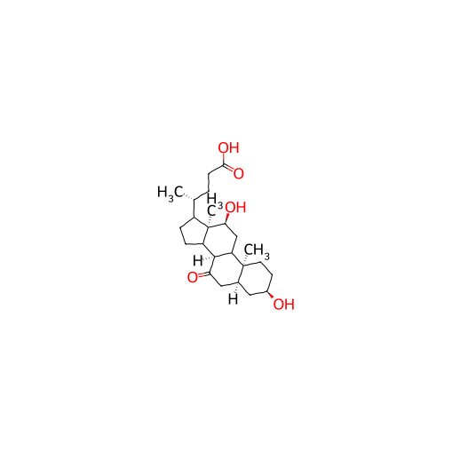 C[C@H](CCC(=O)O)C1CCC2[C@@H]3C(=O)C[C@@H]4C[C@H](O)CC[C@]4(C)C3C[C@H](O)[C@@]21C